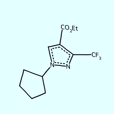 CCOC(=O)c1cn(C2CCCC2)nc1C(F)(F)F